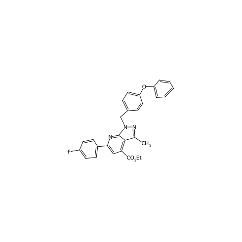 CCOC(=O)c1cc(-c2ccc(F)cc2)nc2c1c(C)nn2Cc1ccc(Oc2ccccc2)cc1